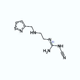 N#CN/C(N)=N/CCNCc1ccsn1